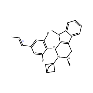 C/C=C/c1cc(F)c([C@@H]2c3c(c4ccccc4n3C)C[C@@H](C)N2C23CC(C2)C3)c(F)c1